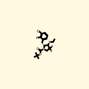 CCSC1[C@@H](Cc2cccc(Cl)c2F)N(C(=O)OC(C)(C)C)CC1(F)F